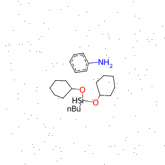 CCCC[SiH](OC1CCCCC1)OC1CCCCC1.Nc1ccccc1